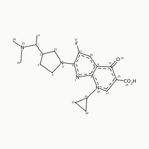 CC(C1CCN(c2nc3c(cc2F)c(=O)c(C(=O)O)cn3C2CC2)C1)N(C)C